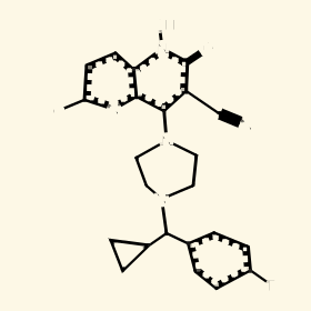 Cc1ccc2c(n1)c(N1CCN(C(c3ccc(F)cc3)C3CC3)CC1)c(C#N)c(=O)n2C